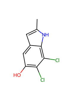 Cc1cc2cc(O)c(Cl)c(Cl)c2[nH]1